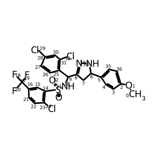 COc1ccc(C2CC(C(NS(=O)(=O)c3cc(C(F)(F)F)ccc3Cl)c3ccc(Cl)cc3Cl)=NN2)cc1